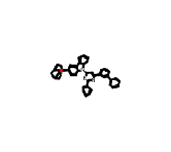 c1ccc(-c2cccc(-c3cc(-n4c5ccccc5c5cc(N6C7CC8CC(C7)CC6C8)ccc54)nc(-c4ccccc4)n3)c2)cc1